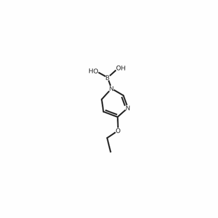 CCOC1=CCN(B(O)O)C=N1